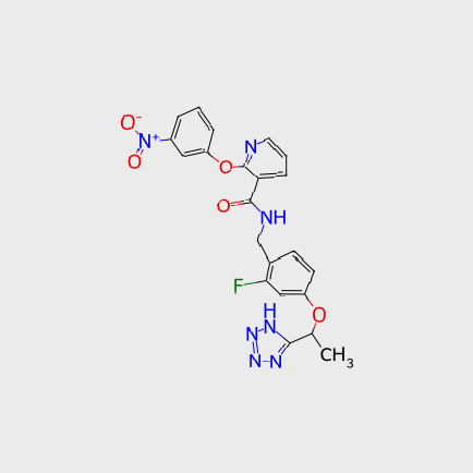 CC(Oc1ccc(CNC(=O)c2cccnc2Oc2cccc([N+](=O)[O-])c2)c(F)c1)c1nnn[nH]1